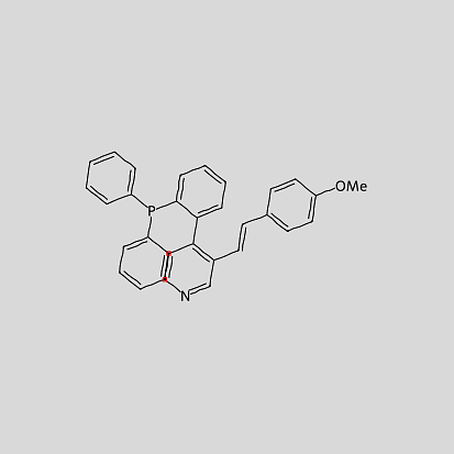 COc1ccc(C=Cc2cnccc2-c2ccccc2P(c2ccccc2)c2ccccc2)cc1